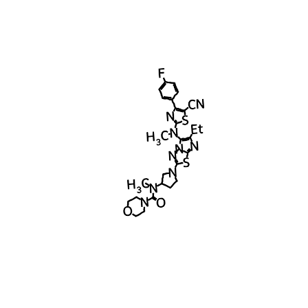 CCc1nc2sc(N3CCC(N(C)C(=O)N4CCOCC4)C3)nn2c1N(C)c1nc(-c2ccc(F)cc2)c(C#N)s1